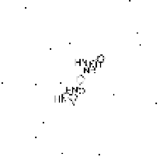 N=C(NCc1ccccc1)NC[C@H]1CC[C@H](C(=O)Nc2ccnc3[nH]ccc23)CC1